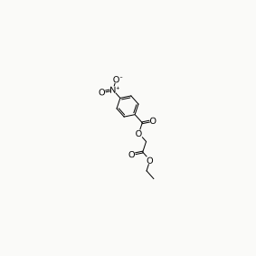 CCOC(=O)COC(=O)c1ccc([N+](=O)[O-])cc1